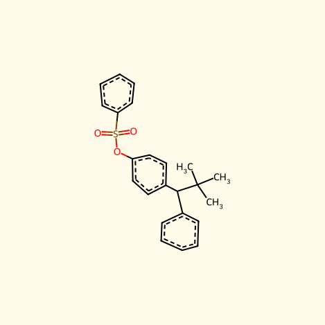 CC(C)(C)C(c1ccccc1)c1ccc(OS(=O)(=O)c2ccccc2)cc1